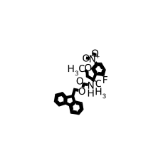 CC(=O)C[C@](C)(NC(=O)OCC1c2ccccc2-c2ccccc21)c1cc([N+](=O)[O-])ccc1F